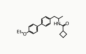 CCOc1ccc(-c2ccc(CC(C)NC(=O)C3CCC3)cc2)cc1